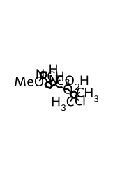 COc1nccc(C)c1-c1cccc2c(CCCOc3cc(C)c(Cl)c(C)c3)c(C(=O)O)[nH]c12